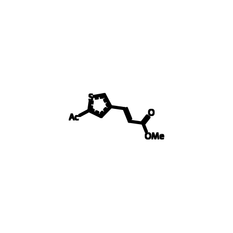 COC(=O)C=Cc1csc(C(C)=O)c1